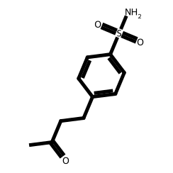 CC(=O)CCc1ccc(S(N)(=O)=O)cc1